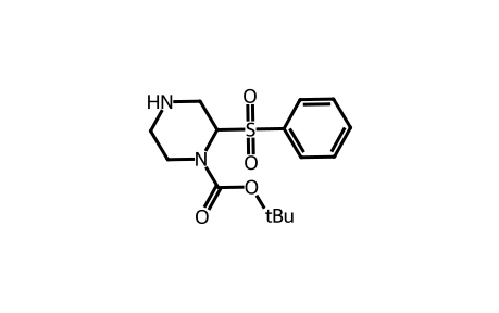 CC(C)(C)OC(=O)N1CCNCC1S(=O)(=O)c1ccccc1